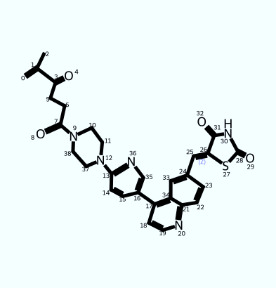 C=C(C)C(=O)CCC(=O)N1CCN(c2ccc(-c3ccnc4ccc(/C=C5\SC(=O)NC5=O)cc34)cn2)CC1